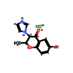 CC1Oc2ccc(Br)cc2C(=O)C1n1ccnc1.Cl